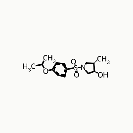 CC(C)Oc1ccc(S(=O)(=O)N2C[C@H](C)[C@@H](O)C2)cc1